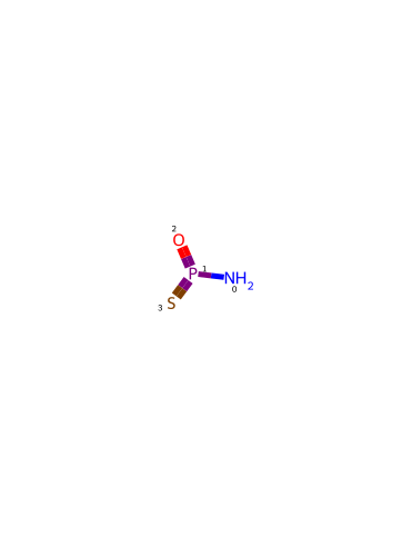 NP(=O)=S